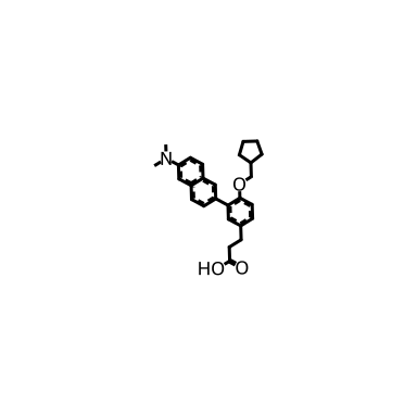 CN(C)c1ccc2cc(-c3cc(CCC(=O)O)ccc3OCC3CCCC3)ccc2c1